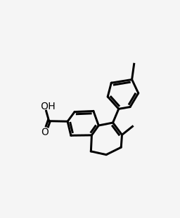 CC1=C(c2ccc(C)cc2)c2ccc(C(=O)O)cc2CCC1